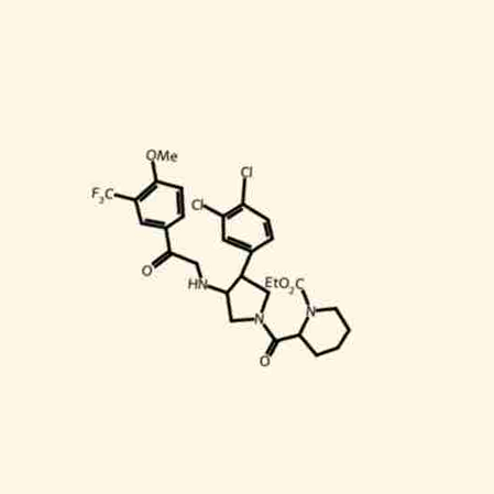 CCOC(=O)N1CCCCC1C(=O)N1CC(NCC(=O)c2ccc(OC)c(C(F)(F)F)c2)C(c2ccc(Cl)c(Cl)c2)C1